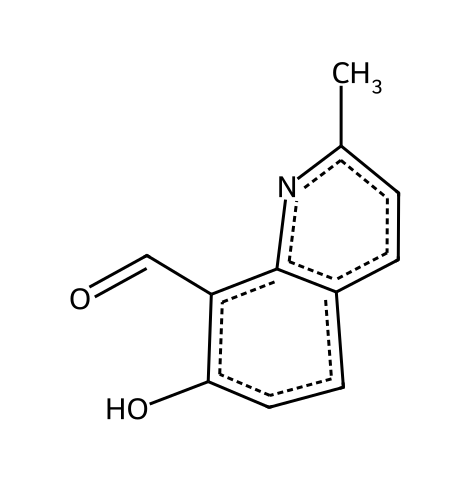 Cc1ccc2ccc(O)c(C=O)c2n1